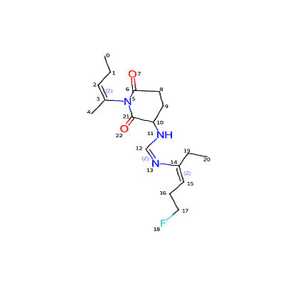 CC/C=C(/C)N1C(=O)CCC(N/C=N\C(=C/CCF)CC)C1=O